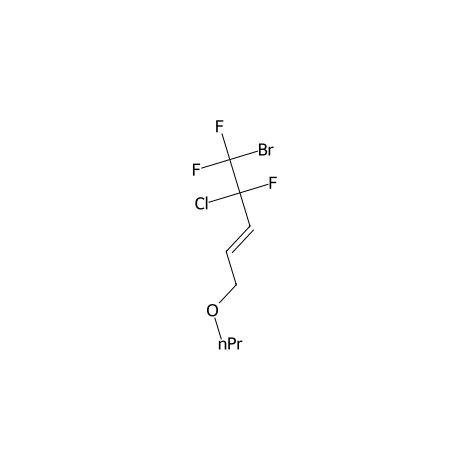 [CH2]CCOCC=CC(F)(Cl)C(F)(F)Br